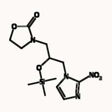 C[Si](C)(C)OC(CN1CCOC1=O)Cn1ccnc1[N+](=O)[O-]